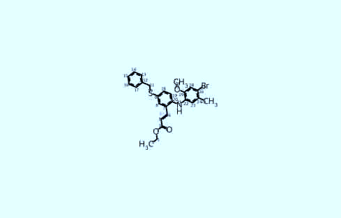 CCOC(=O)/C=C/c1cc(SCc2ccccc2)ccc1Nc1cc(C)c(Br)cc1OC